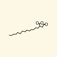 CCCCCCCCCCCCCCC1CC(=O)OC1=O